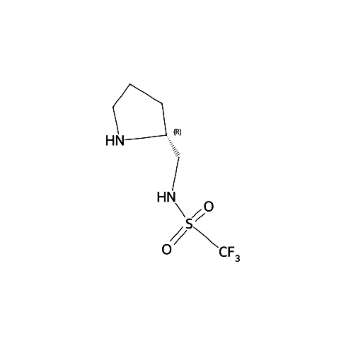 O=S(=O)(NC[C@H]1CCCN1)C(F)(F)F